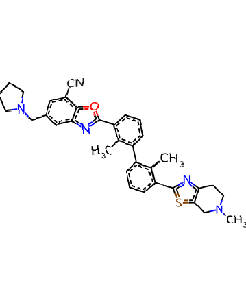 Cc1c(-c2nc3cc(CN4CCCC4)cc(C#N)c3o2)cccc1-c1cccc(-c2nc3c(s2)CN(C)CC3)c1C